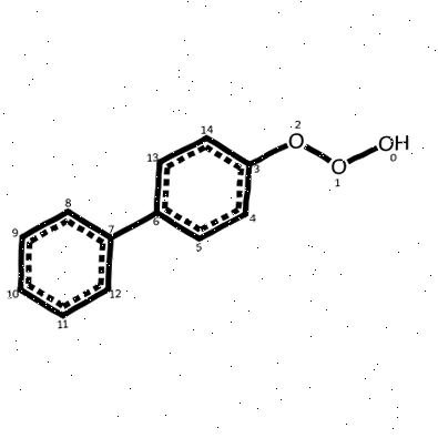 OOOc1ccc(-c2ccccc2)cc1